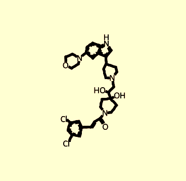 O=C(C=Cc1cc(Cl)cc(Cl)c1)N1CCC(O)(C(O)CN2CCC(c3c[nH]c4ccc(N5CCOCC5)cc34)CC2)CC1